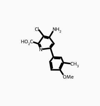 COc1ccc(-c2cc(N)c(Cl)c(C(=O)O)n2)cc1C